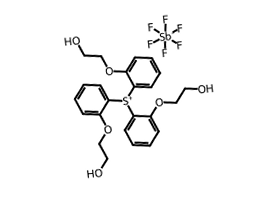 OCCOc1ccccc1[S+](c1ccccc1OCCO)c1ccccc1OCCO.[F][Sb-]([F])([F])([F])([F])[F]